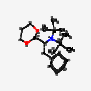 C[Si](C)(C)N(C(Cc1ccccc1)B1OCCCO1)[Si](C)(C)C